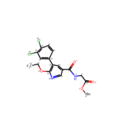 CC(C)(C)OC(=O)CNC(=O)c1cnc(OCC(F)(F)F)c(-c2ccc(Cl)c(Cl)c2)c1